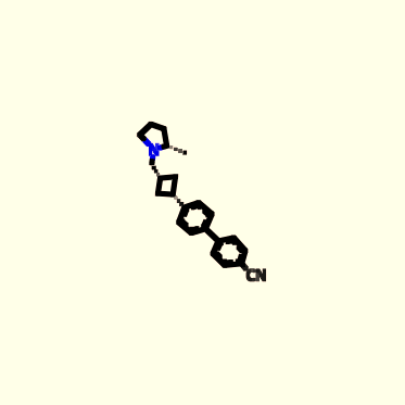 C[C@H]1CCCN1C[C@H]1C[C@@H](c2ccc(-c3ccc(C#N)cc3)cc2)C1